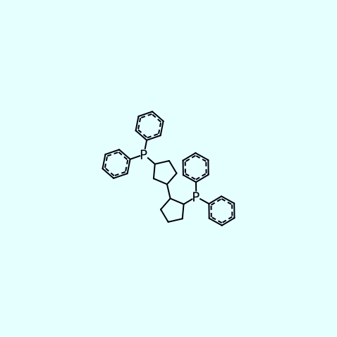 c1ccc(P(c2ccccc2)C2CCC(C3CCCC3P(c3ccccc3)c3ccccc3)C2)cc1